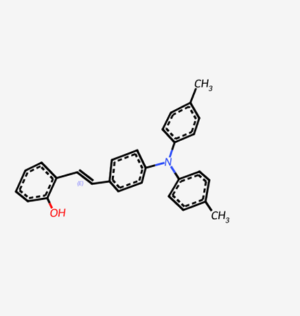 Cc1ccc(N(c2ccc(C)cc2)c2ccc(/C=C/c3ccccc3O)cc2)cc1